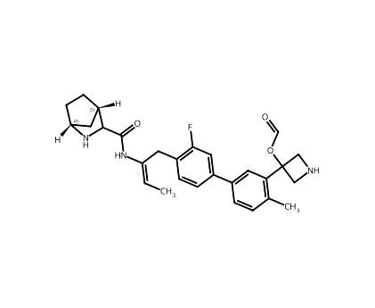 C/C=C(\Cc1ccc(-c2ccc(C)c(C3(OC=O)CNC3)c2)cc1F)NC(=O)C1N[C@@H]2CC[C@H]1C2